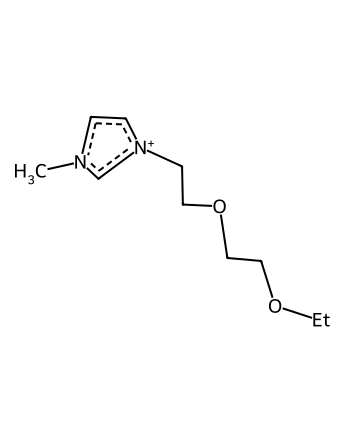 CCOCCOCC[n+]1ccn(C)c1